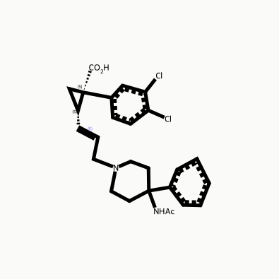 CC(=O)NC1(c2ccccc2)CCN(C/C=C/[C@@H]2C[C@@]2(C(=O)O)c2ccc(Cl)c(Cl)c2)CC1